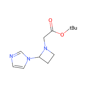 CC(C)(C)OC(=O)CN1CCC1n1ccnc1